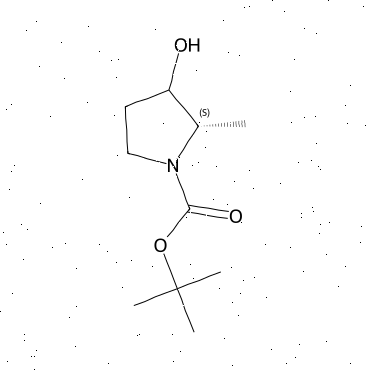 C[C@H]1C(O)CCN1C(=O)OC(C)(C)C